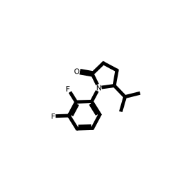 CC(C)C1CCC(=O)N1c1cccc(F)c1F